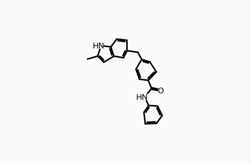 Cc1cc2cc(Cc3ccc(C(=O)Nc4ccccc4)cc3)ccc2[nH]1